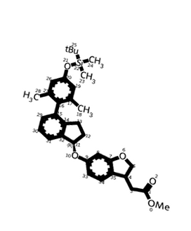 COC(=O)CC1COc2cc(O[C@@H]3CCc4c(-c5c(C)cc(O[Si](C)(C)C(C)(C)C)cc5C)cccc43)ccc21